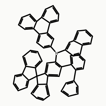 c1ccc(-c2ccccc2-c2cc3c(cc2N(c2ccc4ccccc4c2)c2ccc4c5ccccc5c5ccccc5c4c2)C2(c4ccccc4-c4ccccc42)c2ccccc2-3)cc1